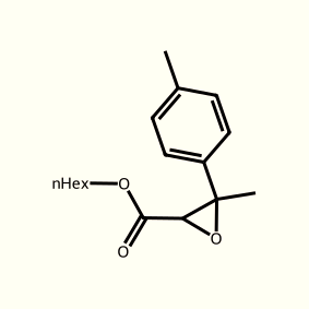 CCCCCCOC(=O)C1OC1(C)c1ccc(C)cc1